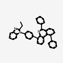 CCc1nc2ccccc2n1-c1ccc(-c2cccc3c2nc(-c2ccccc2)c2cccc(-c4ccccc4)c23)cc1